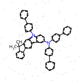 CC1(C)c2ccccc2-c2cc3c4cc(N(c5ccc(-c6ccccc6)cc5)c5ccc(-c6ccccc6)cc5)ccc4n(-c4ccc(-c5ccccc5)cc4)c3cc21